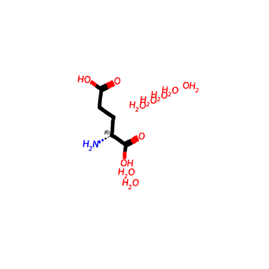 N[C@H](CCC(=O)O)C(=O)O.O.O.O.O.O.O.O